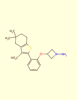 CC1(C)CCc2sc(-c3ccccc3OC3CN(N)C3)c(C(=O)O)c2C1